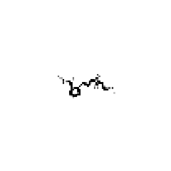 CC(C)(C)OC(=O)N1CCC[C@@H]1CCCS(=O)(=O)CCC(F)(F)F